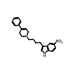 O=[N+]([O-])c1ccc2[nH]cc(CCCCN3CC=C(c4ccccc4)CC3)c2c1